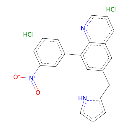 Cl.Cl.O=[N+]([O-])c1cccc(-c2cc(Cc3ccc[nH]3)cc3cccnc23)c1